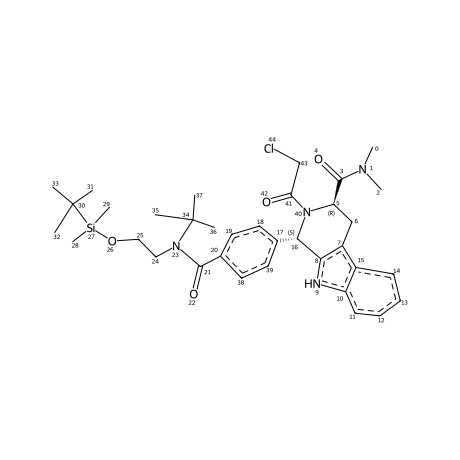 CN(C)C(=O)[C@H]1Cc2c([nH]c3ccccc23)[C@H](c2ccc(C(=O)N(CCO[Si](C)(C)C(C)(C)C)C(C)(C)C)cc2)N1C(=O)CCl